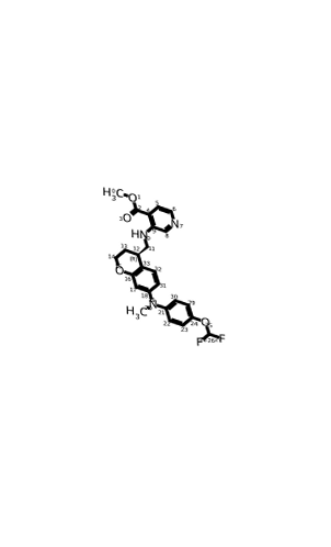 COC(=O)c1ccncc1NC[C@@H]1CCOc2cc(N(C)c3ccc(OC(F)F)cc3)ccc21